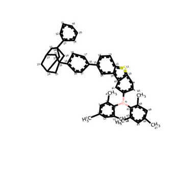 Cc1cc(C)c(B(c2ccc3sc4ccc(-c5ccc(C67CC8CC(CC(c9ccccc9)(C8)C6)C7)cc5)cc4c3c2)c2c(C)cc(C)cc2C)c(C)c1